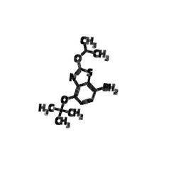 Bc1ccc(OC(C)(C)C)c2nc(OC(C)C)sc12